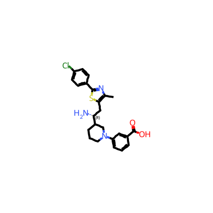 Cc1nc(-c2ccc(Cl)cc2)sc1C[C@@H](N)C1CCCN(c2cccc(C(=O)O)c2)C1